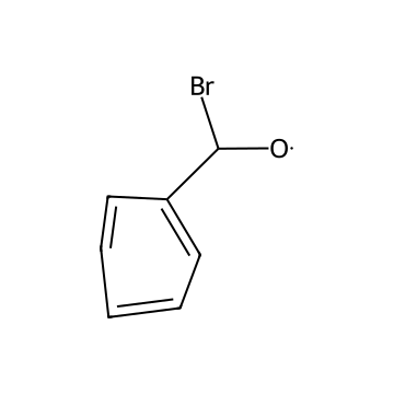 [O]C(Br)c1ccccc1